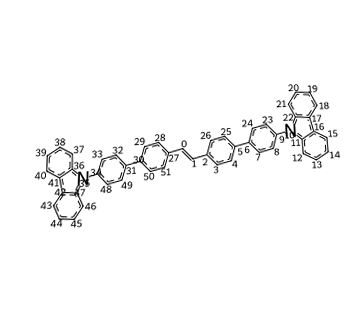 C(=Cc1ccc(-c2ccc(-n3c4ccccc4c4ccccc43)cc2)cc1)c1ccc(-c2ccc(-n3c4ccccc4c4ccccc43)cc2)cc1